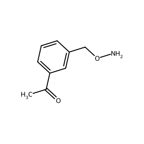 CC(=O)c1cccc(CON)c1